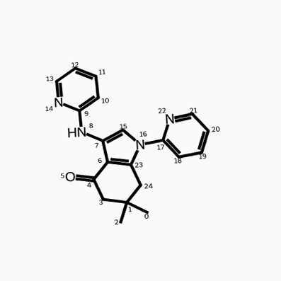 CC1(C)CC(=O)c2c(Nc3ccccn3)cn(-c3ccccn3)c2C1